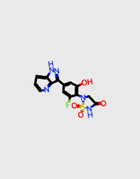 O=C1CN(c2c(O)cc(-c3n[nH]c4cccnc34)cc2F)S(=O)(=O)N1